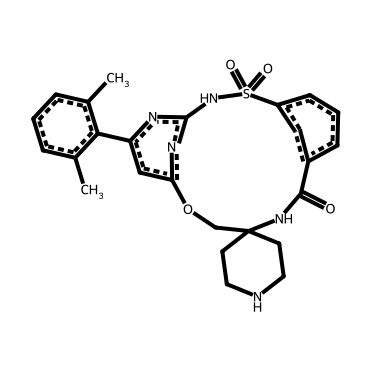 Cc1cccc(C)c1-c1cc2nc(n1)NS(=O)(=O)c1cccc(c1)C(=O)NC1(CCNCC1)CO2